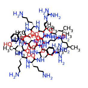 CC(C)C[C@H](NC(=O)[C@H](CC(C)C)NC(=O)[C@H](Cc1ccccc1)NC(=O)[C@H](CC(C)C)NC(=O)[C@H](CC(C)C)NC(=O)[C@@H](N)CC(C)C)C(=O)N[C@@H](CCCCN)C(=O)N[C@@H](CCCCN)C(=O)N[C@@H](CCCN=C(N)N)C(=O)N[C@@H](CCCCN)C(=O)N[C@@H](CCCCN)C(=O)N[C@@H](CCCN=C(N)N)C(=O)N[C@@H](CCCCN)C(=O)N[C@@H](Cc1ccc(O)cc1)C(=O)O